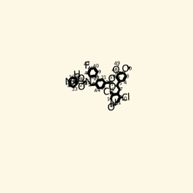 COc1ccc(C(Cc2c(Cl)c[n+]([O-])cc2Cl)OC(=O)c2ccc(CN(C(=O)O[C@H]3CN4CCC3CC4)c3cccc(F)c3)cc2)cc1OC